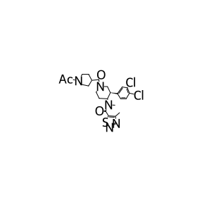 CC(=O)N1CCC(C(=O)N2CC[C@@H](N(C)C(=O)c3snnc3C)[C@H](c3ccc(Cl)c(Cl)c3)C2)CC1